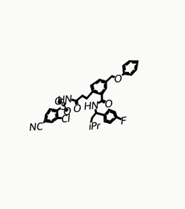 CC(C)CC(NC(=O)c1cc(COc2ccccc2)ccc1CCC(=O)NS(=O)(=O)c1ccc(C#N)cc1Cl)c1ccc(F)cc1